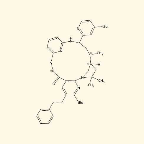 C[C@H]1CC(c2cc(C(C)(C)C)ccn2)Nc2cccc(n2)SNC(=O)c2cc(CCc3ccccc3)c(C(C)(C)C)nc2N2C[C@@H]1CC2(C)C